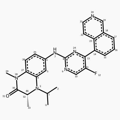 CC(C)N1c2cc(Nc3ncc(F)c(-c4cccc5cnccc45)n3)ccc2N(C)C(=O)[C@H]1C